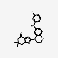 CC1(C)CC(=O)c2sc(N3CCOc4ccc(Nc5cccc(F)n5)cc43)nc2C1